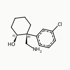 NC[C@]1(c2cccc(Cl)c2)CCCC[C@@H]1O